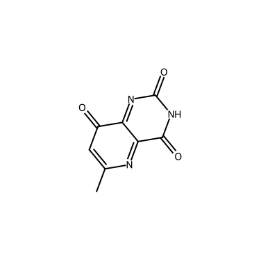 CC1=CC(=O)C2=NC(=O)NC(=O)C2=N1